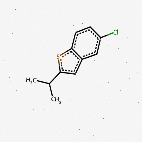 CC(C)c1cc2cc(Cl)ccc2s1